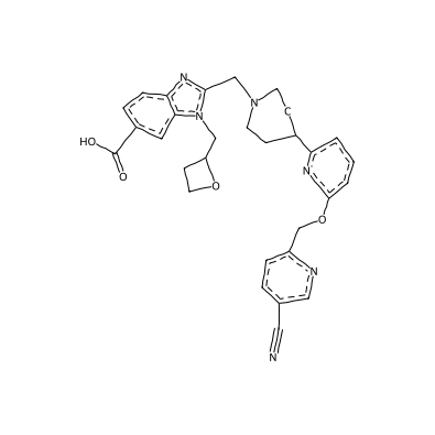 N#Cc1ccc(COc2cccc(C3CCN(Cc4nc5ccc(C(=O)O)cc5n4CC4CCO4)CC3)n2)nc1